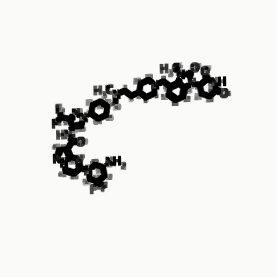 CN(CCC1CCN(Cc2cccc3c2n(C)c(=O)n3C2CCC(=O)NC2=O)CC1)C[C@H]1CC[C@H](n2cc(NC(=O)c3cnn4ccc(N5C[C@H](N)CC(F)(F)C5)nc34)c(C(F)F)n2)CC1